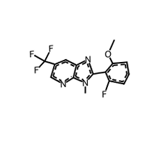 COc1cccc(F)c1-c1nc2cc(C(F)(F)F)cnc2n1C